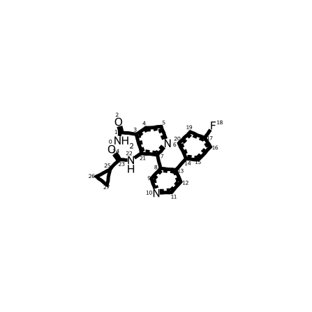 NC(=O)c1ccnc(-c2cnccc2-c2ccc(F)cc2)c1NC(=O)C1CC1